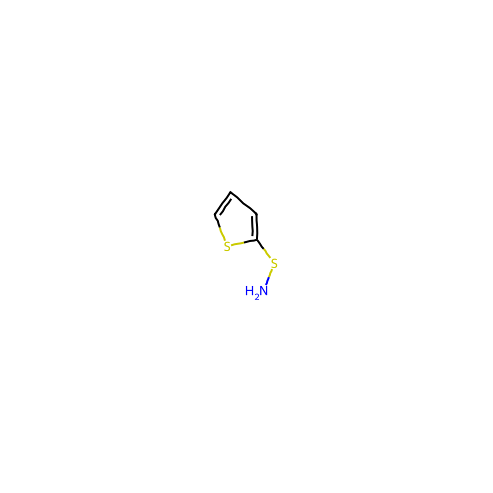 NSc1cccs1